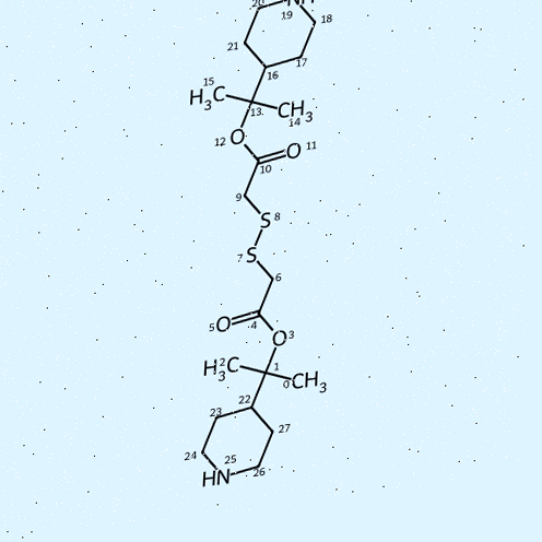 CC(C)(OC(=O)CSSCC(=O)OC(C)(C)C1CCNCC1)C1CCNCC1